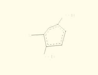 CCCc1cc(S(=O)(=O)O)ccc1C(=O)O